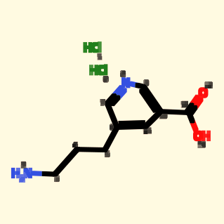 Cl.Cl.NCCCc1cncc(C(=O)O)c1